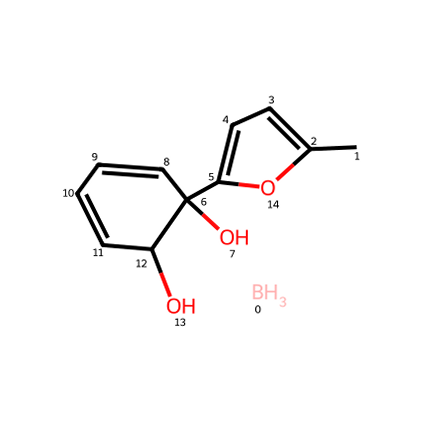 B.Cc1ccc(C2(O)C=CC=CC2O)o1